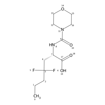 CCCC(F)(F)C[C@H](NC(=O)N1CCOCC1)C(=O)O